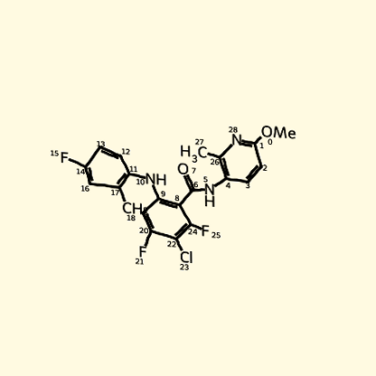 COc1ccc(NC(=O)c2c(Nc3ccc(F)cc3C)cc(F)c(Cl)c2F)c(C)n1